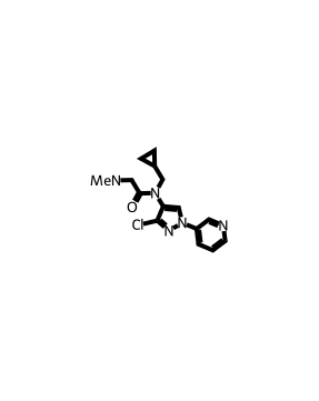 CNCC(=O)N(CC1CC1)c1cn(-c2cccnc2)nc1Cl